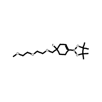 COCCOCCOCC1(F)CC=C(B2OC(C)(C)C(C)(C)O2)CC1